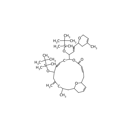 C=C1CC(C)CC2CC=CC(C/C=C\C(=O)OC(C(/C=C/C3CC(C)=CCO3)O[Si](C)(C)C(C)(C)C)C/C=C\C(O[Si](C)(C)C(C)(C)C)C1)O2